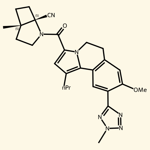 CCCc1cc(C(=O)N2CC[C@]3(C)CC[C@]23C#N)n2c1-c1cc(-c3nnn(C)n3)c(OC)cc1CC2